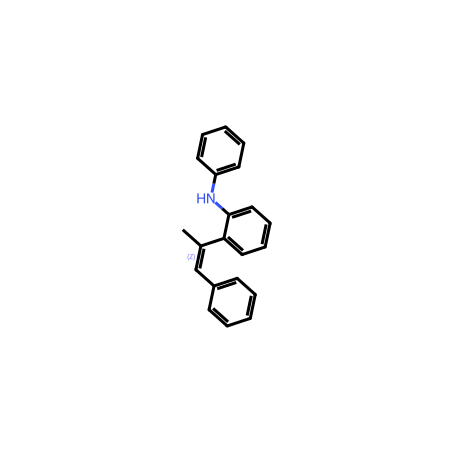 C/C(=C/c1ccccc1)c1ccccc1Nc1ccccc1